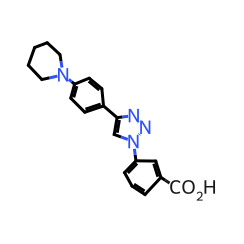 O=C(O)c1cccc(-n2cc(-c3ccc(N4CCCCC4)cc3)nn2)c1